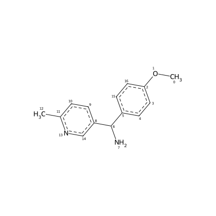 COc1ccc(C(N)c2ccc(C)nc2)cc1